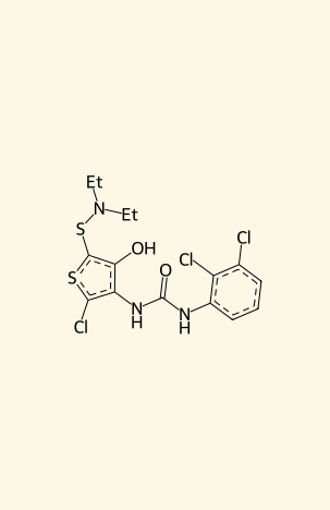 CCN(CC)Sc1sc(Cl)c(NC(=O)Nc2cccc(Cl)c2Cl)c1O